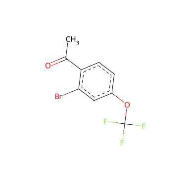 CC(=O)c1ccc(OC(F)(F)F)cc1Br